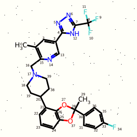 Cc1cc(-c2nnc(C(F)(F)F)[nH]2)cnc1CN1CCC(c2cccc3c2OC(C)(c2ccc(F)cc2)O3)CC1